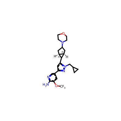 Nc1ncc(-c2cc(C3[C@H]4CC(N5CCOCC5)C[C@@H]34)n(CC3CC3)n2)cc1OC(F)(F)F